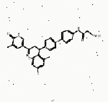 Cc1cc(F)ccc1C(C/C(=N\O)c1c[nH]c(=O)c(C)c1)c1ccc(-c2ccc(NC(=O)CC(=O)O)cc2)cc1